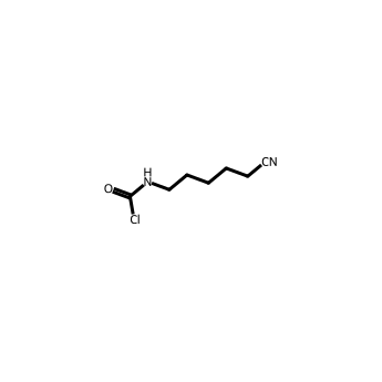 N#CCCCCCNC(=O)Cl